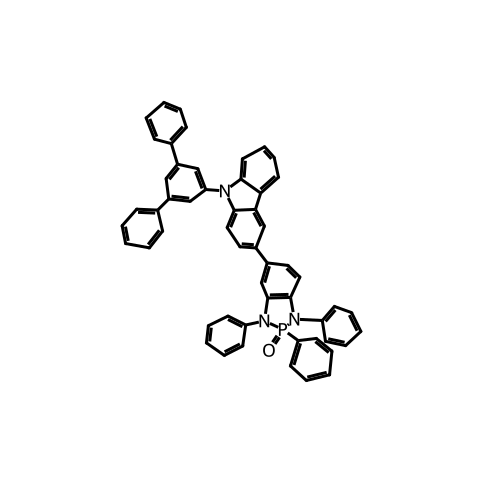 O=P1(c2ccccc2)N(c2ccccc2)c2ccc(-c3ccc4c(c3)c3ccccc3n4-c3cc(-c4ccccc4)cc(-c4ccccc4)c3)cc2N1c1ccccc1